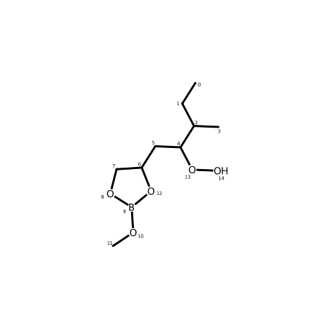 CCC(C)C(CC1COB(OC)O1)OO